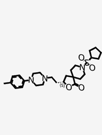 Cc1ccc(N2CCN(CC[C@@H]3CC4(CCN(S(=O)(=O)C5CCCC5)CC4)C(=O)O3)CC2)cc1